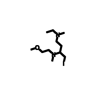 CCN(C)CCC(CI)N(C)CCOC